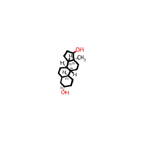 C[C@]12CC[C@H]3[C@@H](CCC4C[C@@H](O)CC[C@@H]43)[C@@H]1CCC2O